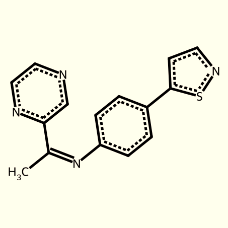 CC(=Nc1ccc(-c2ccns2)cc1)c1cnccn1